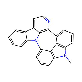 Cn1c2cccc3c4nccc5c6ccccc6n(c6cccc1c6c32)c54